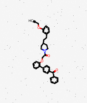 C#CCOc1cccc(CCC2CCN(C(=O)COc3ccccc3-c3ccc(C(=O)c4ccccc4)cc3)CC2)c1